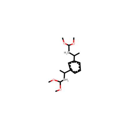 COC(OC)[SiH2]C(C)c1cccc(C(C)[SiH2]C(OC)OC)c1